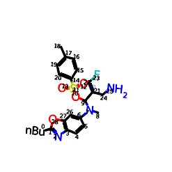 CCCCc1nc2ccc(N(C)C(OS(=O)(=O)c3ccc(C)cc3)/C(=C/F)CN)cc2o1